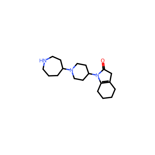 O=C1CC2=C(CCCC2)N1C1CCN(C2CCCNCC2)CC1